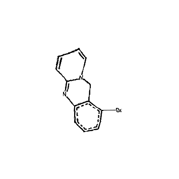 Brc1cccc2c1CN1C=CC=CC1=N2